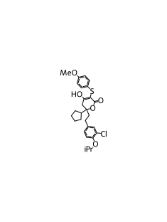 COc1ccc(SC2=C(O)CC(CCc3ccc(OC(C)C)c(Cl)c3)(C3CCCC3)OC2=O)cc1